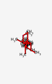 CCCCCC/C=C\CCCCCCCC(=O)OC(CCCCCCCCCCC)CC(=O)NC1[C@H](OCC2OC(OP(=O)(O)O)C(NC(=O)CC(O)CCCCCCCCCCC)[C@@H](OC(=O)CC(O)CCCCCCCCCCC)[C@@H]2O)OC(CO)C(OP(=O)(O)O)[C@@H]1OC(=O)CC(CCCCCCCCCCC)OC(=O)CCCCCCCCCCCCCCC